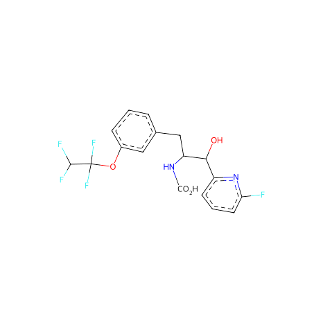 O=C(O)NC(Cc1cccc(OC(F)(F)C(F)F)c1)C(O)c1cccc(F)n1